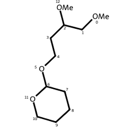 COCC(CCOC1CCCCO1)OC